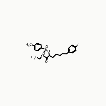 CCOC(=O)C(CCCCCc1ccc(Cl)cc1)OS(=O)(=O)c1ccc(C)cc1